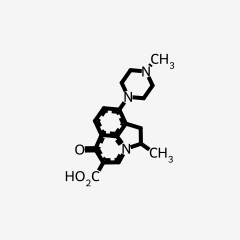 CC1Cc2c(N3CCN(C)CC3)ccc3c(=O)c(C(=O)O)cn1c23